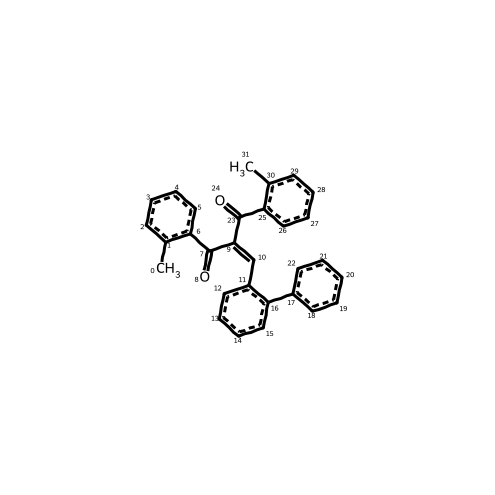 Cc1ccccc1C(=O)C(=Cc1ccccc1-c1ccccc1)C(=O)c1ccccc1C